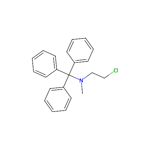 CN(CCCl)C(c1ccccc1)(c1ccccc1)c1ccccc1